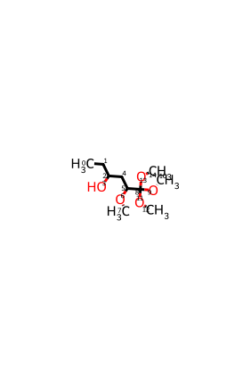 CCC(O)CC(OC)C(OC)(OC)OC